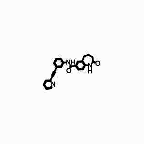 O=C1CCCc2cc(C(=O)Nc3cccc(C#Cc4ccccn4)c3)ccc2N1